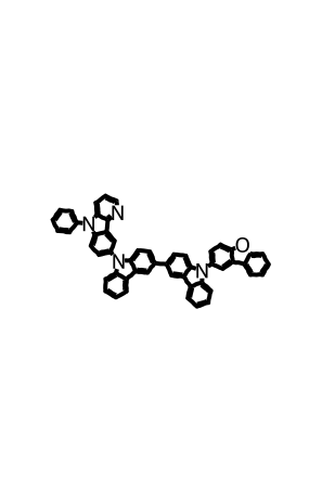 c1ccc(-n2c3ccc(-n4c5ccccc5c5cc(-c6ccc7c(c6)c6ccccc6n7-c6ccc7oc8ccccc8c7c6)ccc54)cc3c3ncccc32)cc1